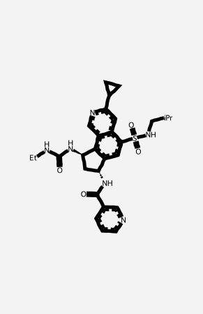 CCNC(=O)N[C@@H]1C[C@@H](NC(=O)c2cccnc2)c2cc(S(=O)(=O)NCC(C)C)c3cc(C4CC4)ncc3c21